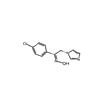 O/N=C(\Cn1ccnc1)c1ccc(Cl)cc1